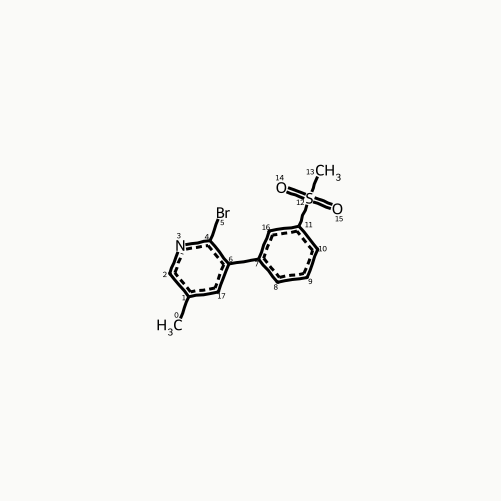 Cc1cnc(Br)c(-c2cccc(S(C)(=O)=O)c2)c1